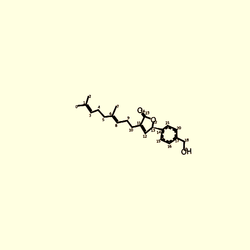 CC(C)=CCC/C(C)=C/CCC1=C[C@H](c2ccc(CO)cc2)OC1=O